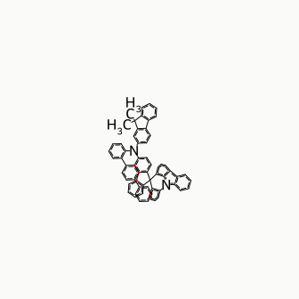 CC1(C)c2ccccc2-c2ccc(N(c3ccc4c(c3)-c3ccccc3C43c4ccccc4-n4c5ccccc5c5cccc3c54)c3ccccc3-c3ccc(-c4ccccc4)cc3)cc21